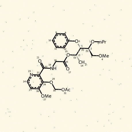 CCCO[C@@H](COC)[C@@H](Oc1ccccc1)[C@H](C)OC(=O)CNC(=O)c1nccc(OC)c1OCOC(C)=O